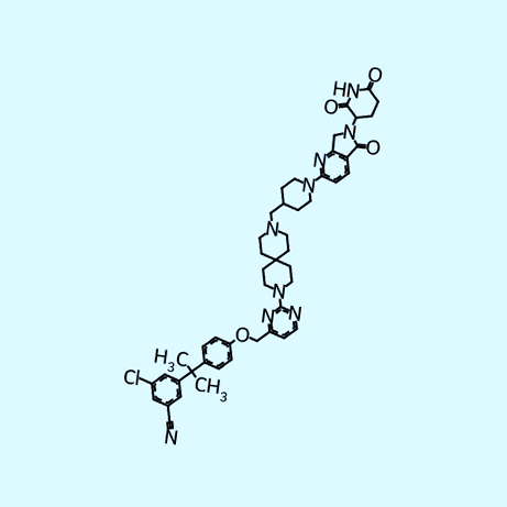 CC(C)(c1ccc(OCc2ccnc(N3CCC4(CCN(CC5CCN(c6ccc7c(n6)CN(C6CCC(=O)NC6=O)C7=O)CC5)CC4)CC3)n2)cc1)c1cc(Cl)cc(C#N)c1